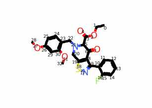 CCOC(=O)C1C(=O)c2c(-c3ccccc3F)nsc2CN1Cc1ccc(OC)cc1OC